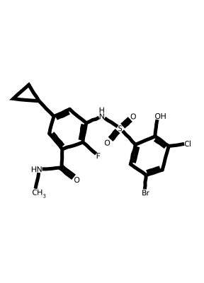 CNC(=O)c1cc(C2CC2)cc(NS(=O)(=O)c2cc(Br)cc(Cl)c2O)c1F